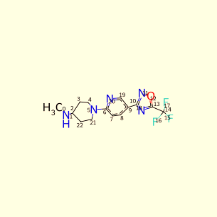 CNC1CCN(c2ccc(-c3noc(C(F)(F)F)n3)cn2)CC1